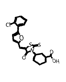 O=C(O)C1CCCC(N2C(=O)C(=Cc3ccc(-c4ccccc4Cl)o3)SC2=S)C1